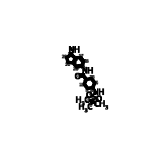 CC(C)(C)S(=O)(=O)NC1CCC(C(=O)Nc2ccc3c(c2)CCC3=N)CC1